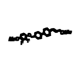 COC/C=C/C1CCC(C2CCC(COc3ccc(OC)c(F)c3F)CC2)CC1